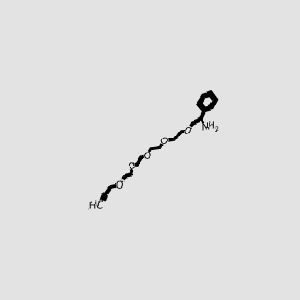 C#CCOCCOCCOCCOCCOC[C@H](N)c1ccccc1